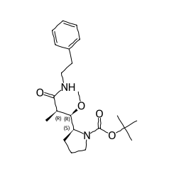 CO[C@H]([C@@H](C)C(=O)NCCc1ccccc1)[C@@H]1CCCN1C(=O)OC(C)(C)C